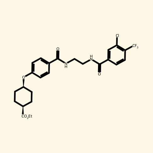 CCOC(=O)[C@H]1CC[C@@H](Oc2ccc(C(=O)NCCNC(=O)c3ccc(C(F)(F)F)c(Cl)c3)cc2)CC1